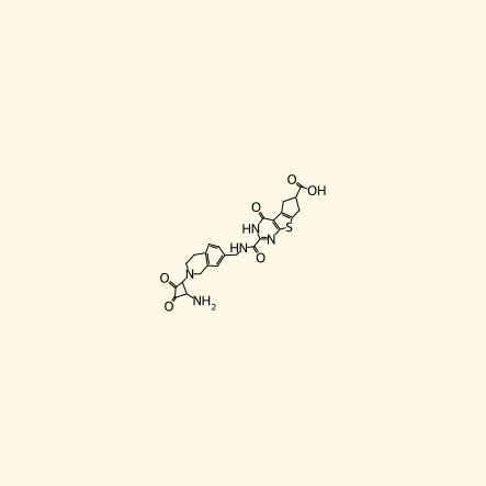 NC1C(=O)C(=O)C1N1CCc2ccc(CNC(=O)c3nc4sc5c(c4c(=O)[nH]3)CC(C(=O)O)C5)cc2C1